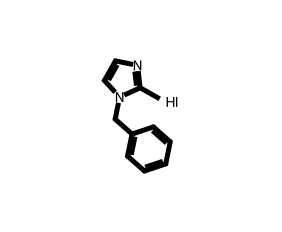 Cc1nccn1Cc1ccccc1.I